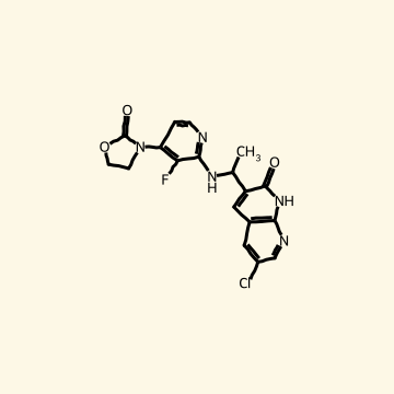 CC(Nc1nccc(N2CCOC2=O)c1F)c1cc2cc(Cl)cnc2[nH]c1=O